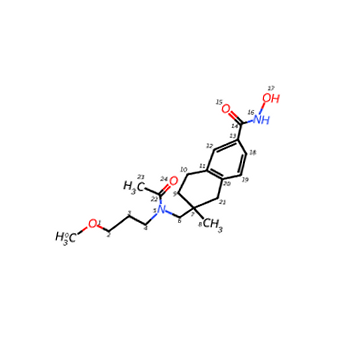 COCCCN(CC1(C)CCc2cc(C(=O)NO)ccc2C1)C(C)=O